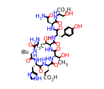 CC[C@H](C)[C@H](NC(=O)CN)C(=O)N[C@@H](Cc1c[nH]cn1)C(=O)N[C@@H](CCC(=O)O)C(=O)N[C@H](C(=O)N[C@H](C(=O)N[C@@H](Cc1ccc(O)cc1)C(=O)N[C@@H](CC(N)=O)C(=O)N[C@@H](CO)C(=O)O)[C@@H](C)O)[C@@H](C)O